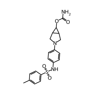 Cc1ccc(S(=O)(=O)Nc2ccc(N3CC4C(C3)C4OC(N)=O)cc2)cc1